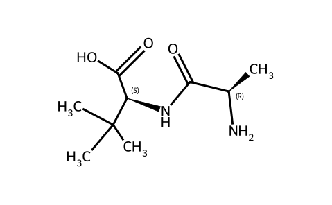 C[C@@H](N)C(=O)N[C@H](C(=O)O)C(C)(C)C